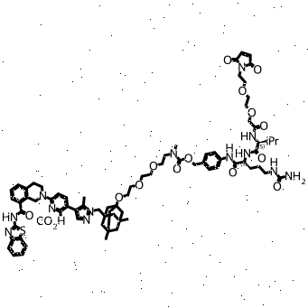 Cc1c(-c2ccc(N3CCc4cccc(C(=O)Nc5nc6ccccc6s5)c4C3)nc2C(=O)O)cnn1CC12CC3(C)CC(C)(C1)CC(OCCOCCOCCN(C)C(=O)OCc1ccc(NC(=O)[C@H](CCCNC(N)=O)NC(=O)[C@@H](NC(=O)COCCOCCN4C(=O)C=CC4=O)C(C)C)cc1)(C3)C2